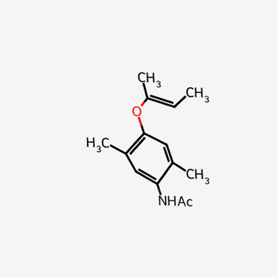 CC=C(C)Oc1cc(C)c(NC(C)=O)cc1C